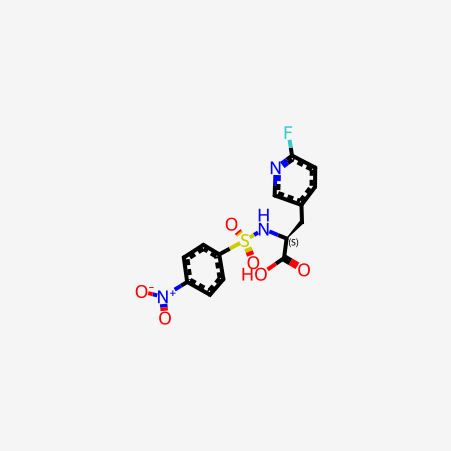 O=C(O)[C@H](Cc1ccc(F)nc1)NS(=O)(=O)c1ccc([N+](=O)[O-])cc1